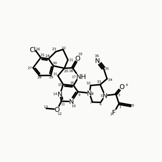 C=C(F)C(=O)N1CCN(c2nc(OC)nc3c2NC(=O)C2(CCCc4c(Cl)cccc42)C3)CC1CC#N